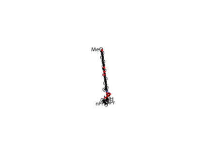 CCCn1c(=O)c2nc(-c3cccc(/C=C/C(=O)OCCOCCOCCOCCOCCOCCOCCOCCOCCOC)c3)[nH]c2n(CCC)c1=O